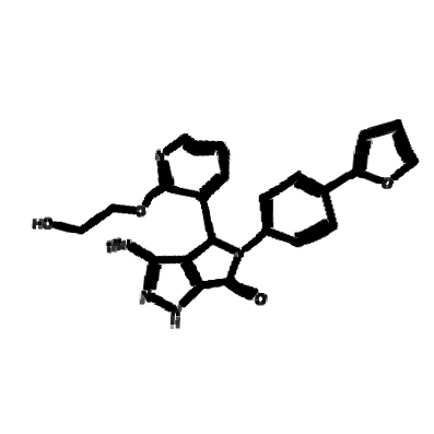 CC(C)(C)c1n[nH]c2c1C(c1cccnc1OCCO)N(c1ccc(-c3ccco3)cc1)C2=O